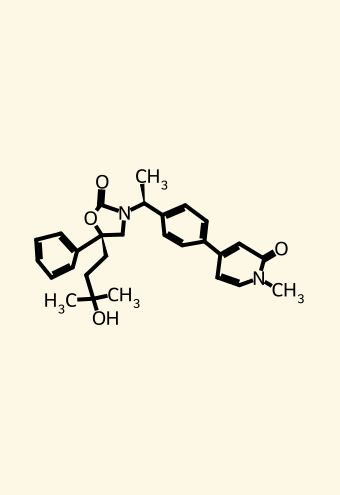 C[C@@H](c1ccc(-c2ccn(C)c(=O)c2)cc1)N1C[C@](CCC(C)(C)O)(c2ccccc2)OC1=O